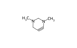 CN1C#CCN(C)C1